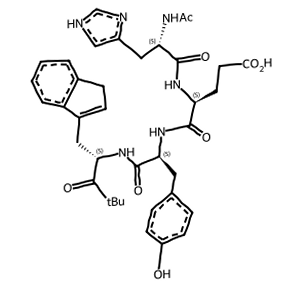 CC(=O)N[C@@H](Cc1c[nH]cn1)C(=O)N[C@@H](CCC(=O)O)C(=O)N[C@@H](Cc1ccc(O)cc1)C(=O)N[C@@H](CC1=CCc2ccccc21)C(=O)C(C)(C)C